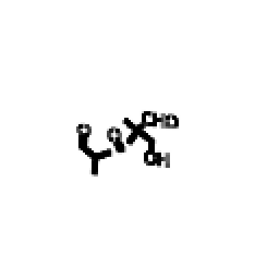 C=O.CC(C)(C=O)CO.CC(C)C=O